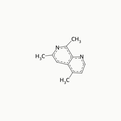 Cc1cc2c(C)ccnc2c(C)n1